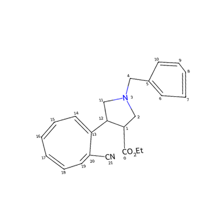 CCOC(=O)C1CN(Cc2ccccc2)CC1C1=C/C=C\C=C/C=C\1C#N